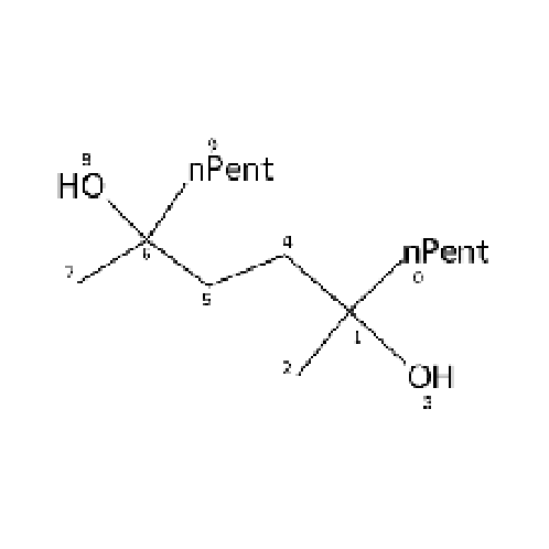 CCCCCC(C)(O)CCC(C)(O)CCCCC